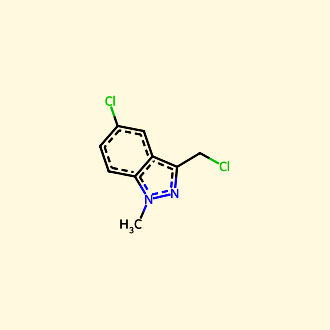 Cn1nc(CCl)c2cc(Cl)ccc21